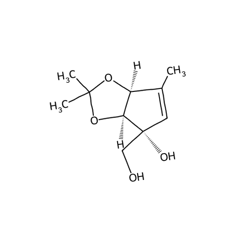 CC1=C[C@@](O)(CO)[C@H]2OC(C)(C)O[C@@H]12